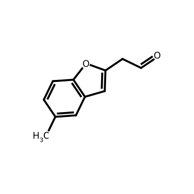 Cc1ccc2oc(CC=O)cc2c1